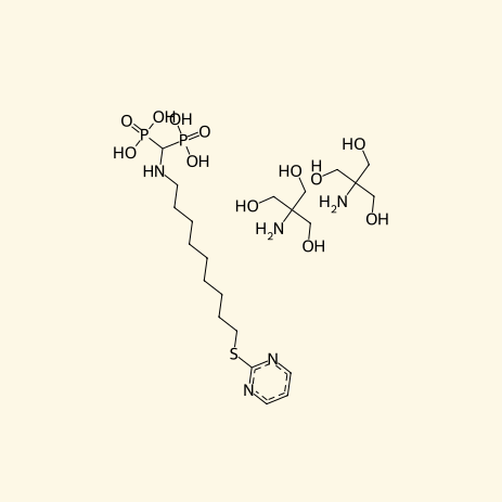 NC(CO)(CO)CO.NC(CO)(CO)CO.O=P(O)(O)C(NCCCCCCCCCSc1ncccn1)P(=O)(O)O